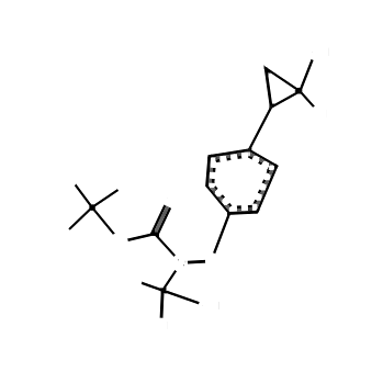 CC(C)(C)OC(=O)N(Sc1ccc(C2CC2(C)C)cc1)C(C)(C)C